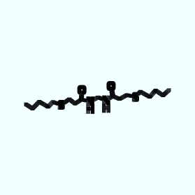 CCCCCSCCC(=O)NCNC(=O)CCSCCCCC